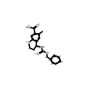 Cc1cc2c(cc1C(=O)O)SCCC2NC(=O)OCc1ccccc1